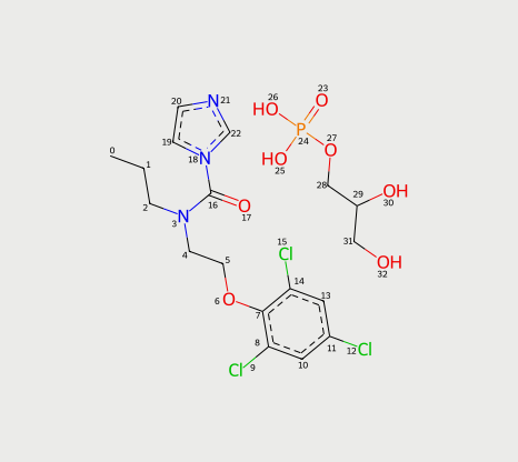 CCCN(CCOc1c(Cl)cc(Cl)cc1Cl)C(=O)n1ccnc1.O=P(O)(O)OCC(O)CO